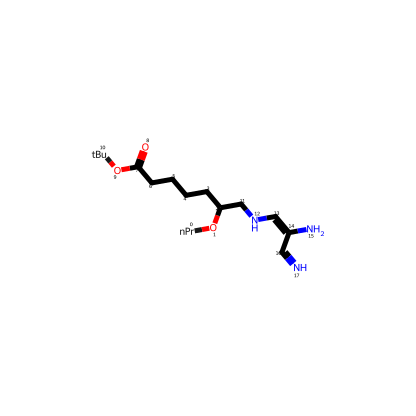 CCCOC(CCCCC(=O)OC(C)(C)C)CN/C=C(/N)C=N